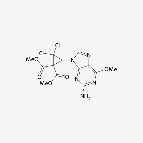 COC(=O)C1(C(=O)OC)C(n2cnc3c(OC)nc(N)nc32)C1(Cl)Cl